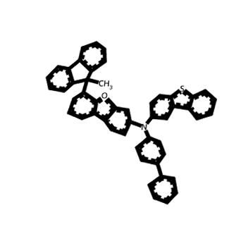 CC1(c2cccc3c2oc2cc(N(c4ccc(-c5ccccc5)cc4)c4ccc5sc6ccccc6c5c4)ccc23)c2ccccc2-c2ccccc21